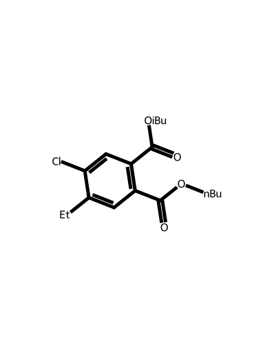 CCCCOC(=O)c1cc(CC)c(Cl)cc1C(=O)OCC(C)C